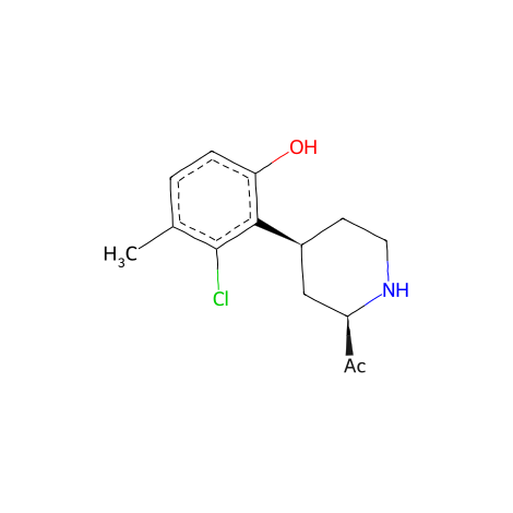 CC(=O)[C@H]1C[C@@H](c2c(O)ccc(C)c2Cl)CCN1